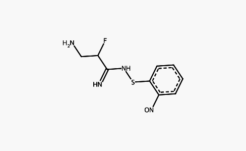 N=C(NSc1ccccc1N=O)C(F)CN